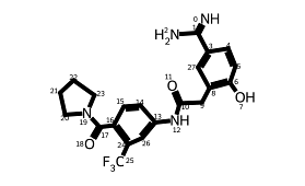 N=C(N)c1ccc(O)c(CC(=O)Nc2ccc(C(=O)N3CCCC3)c(C(F)(F)F)c2)c1